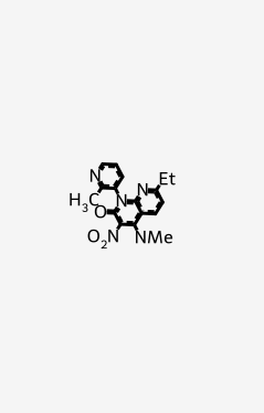 CCc1ccc2c(NC)c([N+](=O)[O-])c(=O)n(-c3cccnc3C)c2n1